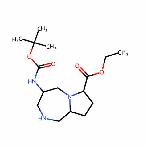 CCOC(=O)C1CCC2CNCC(NC(=O)OC(C)(C)C)CN21